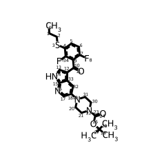 CCCSc1ccc(F)c(C(=O)c2c[nH]c3ncc(N4CCN(C(=O)OC(C)(C)C)CC4)cc23)c1F